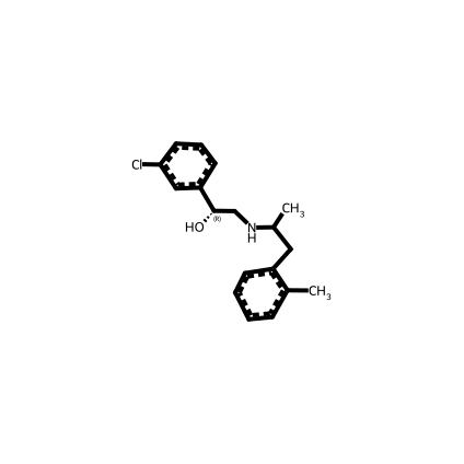 Cc1ccccc1CC(C)NC[C@H](O)c1cccc(Cl)c1